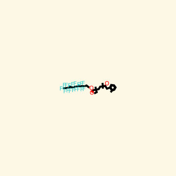 CCC(C)(CCC(C)(C)C(=O)Cc1ccccc1C)C(=O)OCCC(F)(F)C(F)(F)C(F)(F)C(F)(F)C(F)(F)C(F)(F)C(F)(F)C(F)(F)F